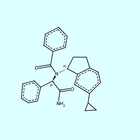 NC(=O)[C@@H](c1ccccc1)N(C(=O)c1ccccc1)[C@@H]1CCc2ccc(C3CC3)cc21